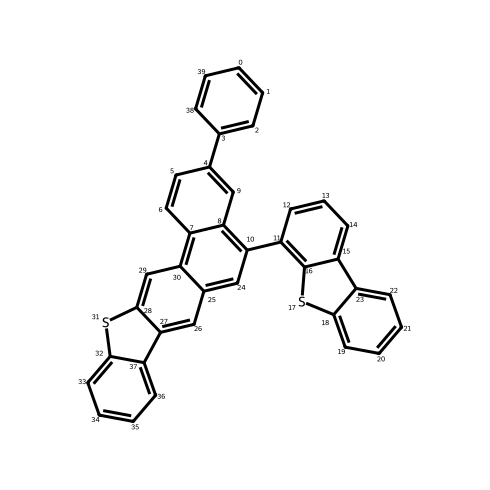 c1ccc(-c2ccc3c(c2)c(-c2cccc4c2sc2ccccc24)cc2cc4c(cc23)sc2ccccc24)cc1